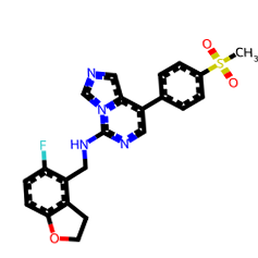 CS(=O)(=O)c1ccc(-c2cnc(NCc3c(F)ccc4c3CCO4)n3cncc23)cc1